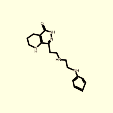 O=c1[nH]nc(CCNCCNc2ccccc2)c2c1CCCN2